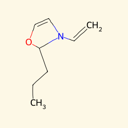 C=CN1C=COC1CCC